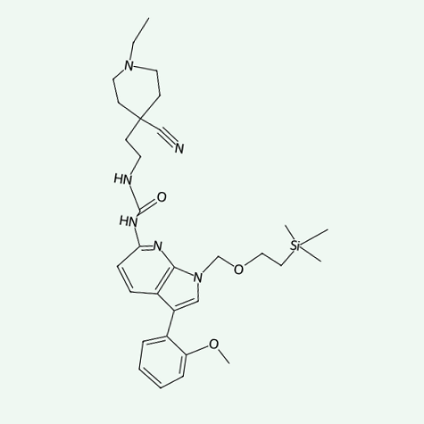 CCN1CCC(C#N)(CCNC(=O)Nc2ccc3c(-c4ccccc4OC)cn(COCC[Si](C)(C)C)c3n2)CC1